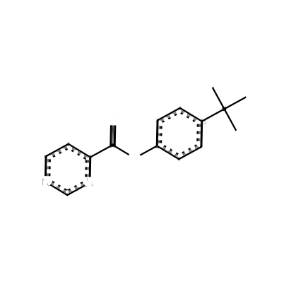 CC(C)(C)c1ccc(OC(=O)c2ccncn2)cc1